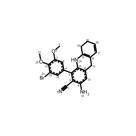 COc1cc(-c2c(C#N)c(N)cc3c2NC2=C(C=CCC2)C3)cc(Br)c1OC